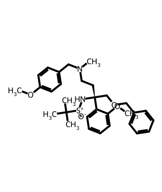 COc1ccc(CN(C)CC[C@](COCc2ccccc2)(N[S@+]([O-])C(C)(C)C)c2ccccc2OC)cc1